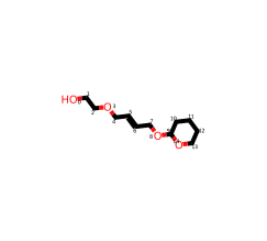 OCCOC/C=C/COC1CCCCO1